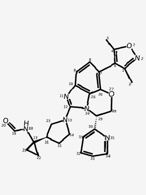 Cc1noc(C)c1-c1ccc2nc(N3CC[C@@H](C4(NC=O)CC4)C3)n3c2c1OC[C@@H]3c1ccccn1